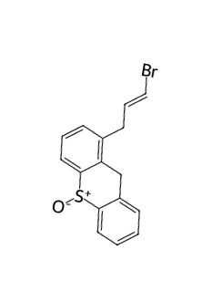 [O-][S+]1c2ccccc2Cc2c(CC=CBr)cccc21